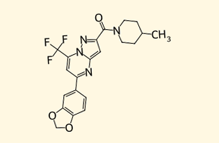 CC1CCN(C(=O)c2cc3nc(-c4ccc5c(c4)OCO5)cc(C(F)(F)F)n3n2)CC1